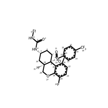 CCNC(=O)N[C@@H]1CC[C@@]2(S(=O)(=O)c3ccc(C(F)(F)F)cc3)c3c(F)ccc(F)c3OC[C@H]2C1